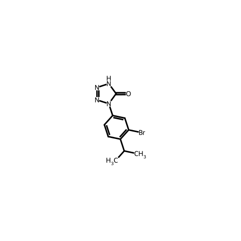 CC(C)c1ccc(-n2nn[nH]c2=O)cc1Br